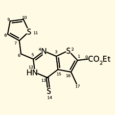 CCOC(=O)c1sc2nc(Cc3cccs3)[nH]c(=S)c2c1C